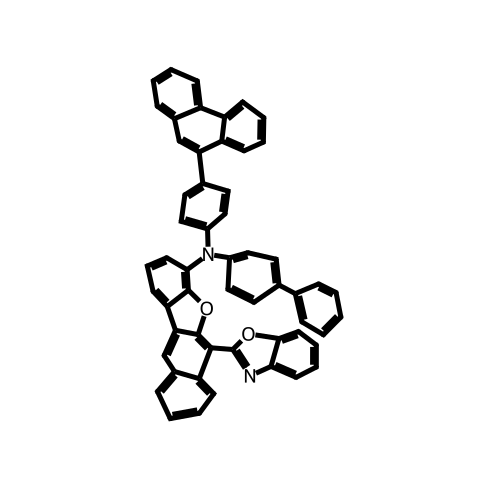 c1ccc(-c2ccc(N(c3ccc(-c4cc5ccccc5c5ccccc45)cc3)c3cccc4c3oc3c(-c5nc6ccccc6o5)c5ccccc5cc34)cc2)cc1